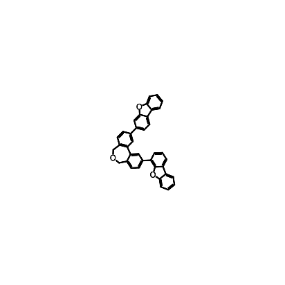 c1ccc2c(c1)oc1cc(-c3ccc4c(c3)-c3cc(-c5cccc6c5oc5ccccc56)ccc3COC4)ccc12